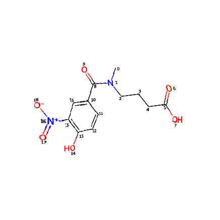 CN(CCCC(=O)O)C(=O)c1ccc(O)c([N+](=O)[O-])c1